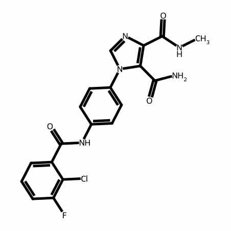 CNC(=O)c1ncn(-c2ccc(NC(=O)c3cccc(F)c3Cl)cc2)c1C(N)=O